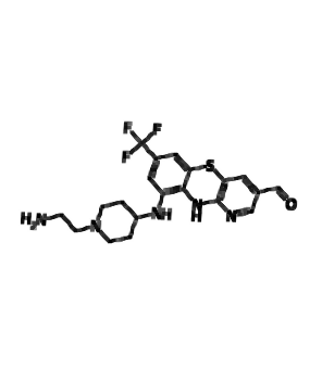 NCCN1CCC(Nc2cc(C(F)(F)F)cc3c2Nc2ncc(C=O)cc2S3)CC1